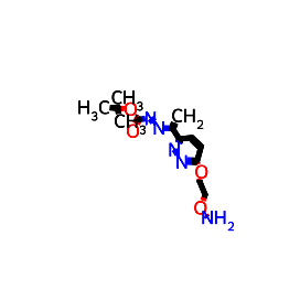 C=C(N=NC(=O)OC(C)(C)C)c1ccc(OCCON)nn1